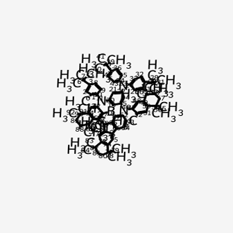 Cc1cc(C(C)(C)C)ccc1N1c2cc3c(cc2B2c4c1cc(N(c1ccc(C(C)(C)C)cc1)c1ccc(C(C)(C)C)cc1)cc4N(c1cc4c(cc1C)C(C)(C)CCC4(C)C)c1ccc4c(c12)C(C)(C)c1cc2c(cc1-4)C(C)(C)CCC2(C)C)C(C)(C)CCC3(C)C